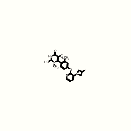 CC1=C(c2ccc(Oc3ncccc3N3CC(F)C3)cc2C)N(C)C(O)NC1=O